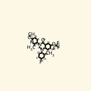 COc1ccc(N2CN(c3ccc(F)cc3C)c3ccc(OC(F)(F)F)cc3C2=O)c(C)n1